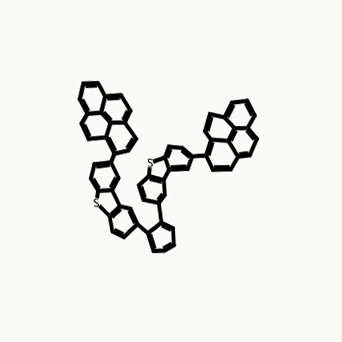 c1ccc(-c2ccc3sc4ccc(-c5ccc6ccc7cccc8ccc5c6c78)cc4c3c2)c(-c2ccc3sc4ccc(-c5ccc6ccc7cccc8ccc5c6c78)cc4c3c2)c1